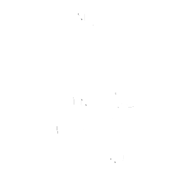 Cc1cc(N)cc(C)c1NC(=O)c1ccc(N)cc1